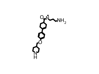 CN(CCCN)C(=O)C1CC=C(c2ccc(OCC3CCNCC3)cc2)CC1